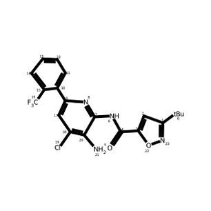 CC(C)(C)c1cc(C(=O)Nc2nc(-c3ccccc3C(F)(F)F)cc(Cl)c2N)on1